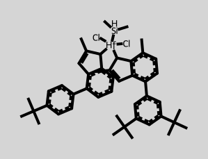 CC1=Cc2c(-c3ccc(C(C)(C)C)cc3)cccc2[CH]1[Hf]([Cl])([Cl])([CH]1C(C)=Cc2c(-c3cc(C(C)(C)C)cc(C(C)(C)C)c3)ccc(C)c21)[SiH](C)C